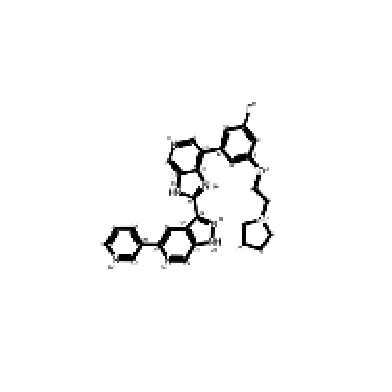 Fc1cc(OCCN2CCCC2)cc(-c2cncc3[nH]c(-c4n[nH]c5cnc(-c6cccnc6)cc45)nc23)c1